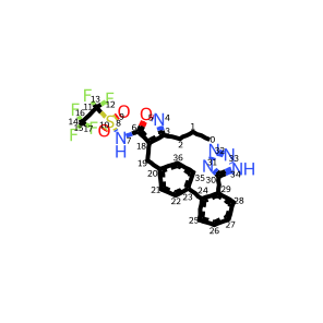 CCCc1noc(NS(=O)(=O)C(F)(F)C(F)(F)F)c1Cc1ccc(-c2ccccc2-c2nnn[nH]2)cc1